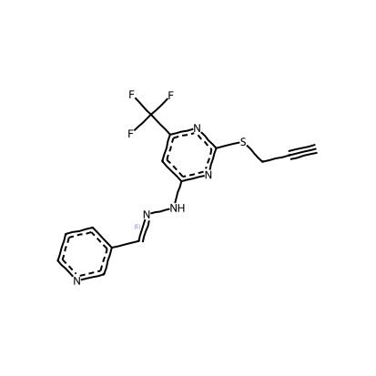 C#CCSc1nc(N/N=C/c2cccnc2)cc(C(F)(F)F)n1